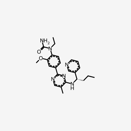 CCC[C@H](Nc1nc(-c2ccc(N(CC)C(N)=O)c(OC)c2)ncc1C)c1cccnc1